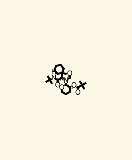 CC(C)(C)NC(=O)[C@@H](N(C=O)C1OCCC[C@@H]1OC(=O)C(C)(C)C)C1(C)CCCCC1